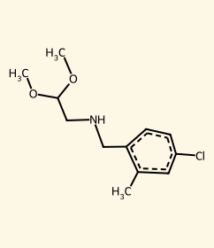 COC(CNCc1ccc(Cl)cc1C)OC